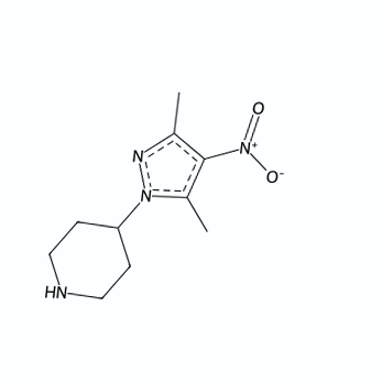 Cc1nn(C2CCNCC2)c(C)c1[N+](=O)[O-]